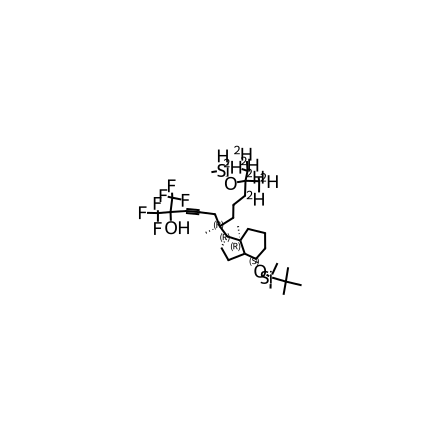 [2H]C([2H])([2H])C(CCC[C@](C)(CC#CC(O)(C(F)(F)F)C(F)(F)F)[C@H]1CCC2[C@@H](O[Si](C)(C)C(C)(C)C)CCC[C@@]21C)(O[SiH](C)C)C([2H])([2H])[2H]